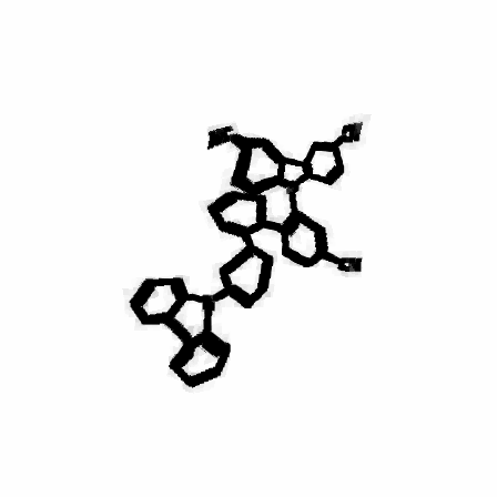 N#Cc1ccc(-c2ccccc2-c2cccc(-n3c4ccccc4c4ccccc43)c2)c(-n2c3ccc(C#N)cc3c3cc(C#N)ccc32)c1